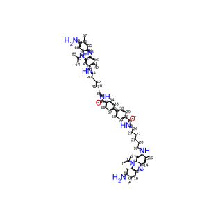 C=C(C)N1c2cc(N)c(C)cc2N=C2C=C(C)C(NCCCCCCNC(=O)c3ccc(-c4ccc(C(=O)NCCCCCCNc5cc6c(cc5C)nc5cc(C)c(N)cc5[n+]6C(=C)C)cc4)cc3)=CC21